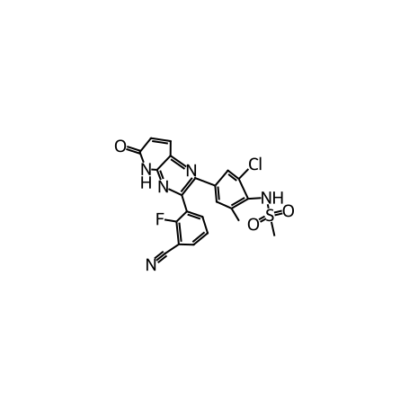 Cc1cc(-c2nc3ccc(=O)[nH]c3nc2-c2cccc(C#N)c2F)cc(Cl)c1NS(C)(=O)=O